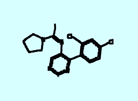 C/C(=N/c1cn[c]nc1-c1ccc(Cl)cc1Cl)N1CCCC1